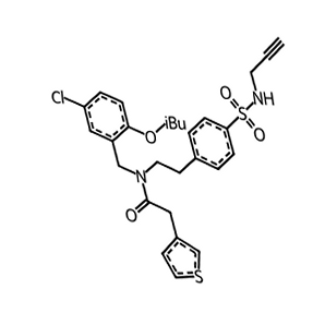 C#CCNS(=O)(=O)c1ccc(CCN(Cc2cc(Cl)ccc2OC(C)CC)C(=O)Cc2ccsc2)cc1